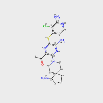 CC(=O)c1nc(Sc2ccnc(N)c2Cl)c(N)nc1N1CCC2(CCC[C@H]2N)CC1